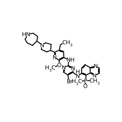 CCc1cc(Nc2ncc(Br)c(Nc3ccc4nccnc4c3P(C)(C)=O)n2)c(OC)nc1C1CCN(C2CCCNCC2)CC1